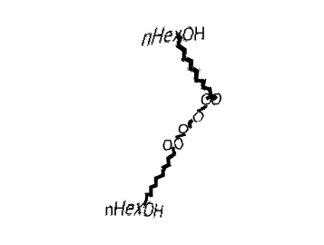 CCCCCCC(O)CCCCCCCCCCC(=O)OCCOCCOCCOC(=O)CCCCCCCCCCC(O)CCCCCC